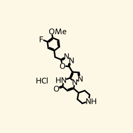 COc1ccc(Cc2nnc(-c3cnn4c(C5CCNCC5)cc(=O)[nH]c34)o2)cc1F.Cl